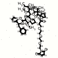 CCC(C)C(C(CC(=O)N1CCC[C@H]1C(OC)C(C)C(=O)NC(Cc1ccccc1)c1nccs1)OC)N(C)C(=O)C(N)(C(=O)C1(NC(=O)CCOCCOCCOCCN2C(=O)C=CC2=O)CCCC1)C(C)C